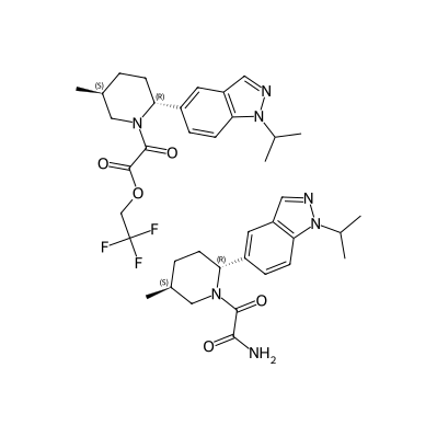 CC(C)n1ncc2cc([C@H]3CC[C@H](C)CN3C(=O)C(=O)OCC(F)(F)F)ccc21.CC(C)n1ncc2cc([C@H]3CC[C@H](C)CN3C(=O)C(N)=O)ccc21